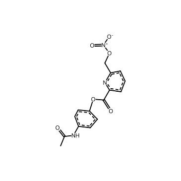 CC(=O)Nc1ccc(OC(=O)c2cccc(CO[N+](=O)[O-])n2)cc1